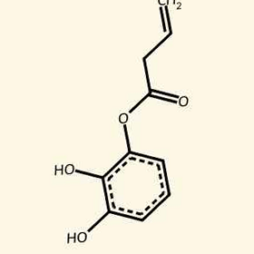 C=CCC(=O)Oc1cccc(O)c1O